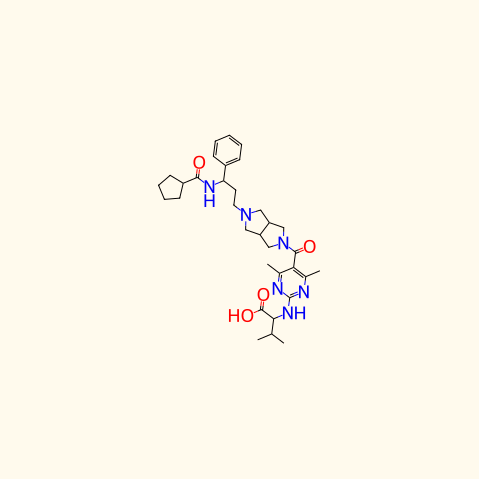 Cc1nc(NC(C(=O)O)C(C)C)nc(C)c1C(=O)N1CC2CN(CCC(NC(=O)C3CCCC3)c3ccccc3)CC2C1